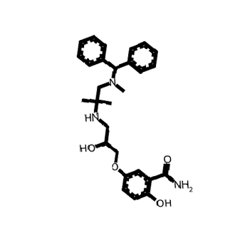 CN(CC(C)(C)NCC(O)COc1ccc(O)c(C(N)=O)c1)C(c1ccccc1)c1ccccc1